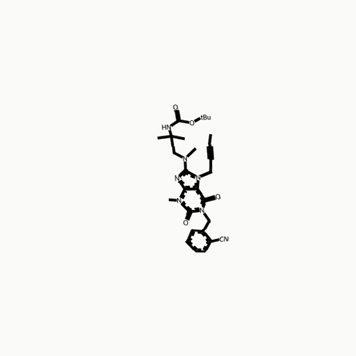 CC#CCn1c(N(C)CC(C)(C)NC(=O)OC(C)(C)C)nc2c1c(=O)n(Cc1ccccc1C#N)c(=O)n2C